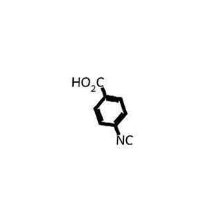 [C-]#[N+]c1ccc(C(=O)O)cc1